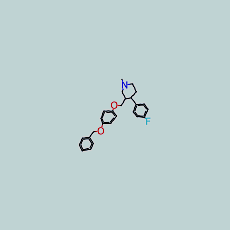 CN1CCC(c2ccc(F)cc2)C(COc2ccc(OCc3ccccc3)cc2)C1